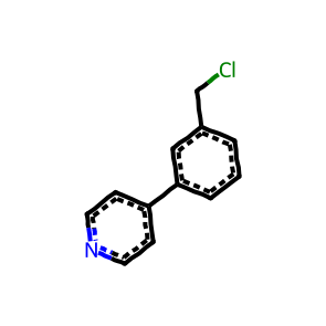 ClCc1cccc(-c2ccncc2)c1